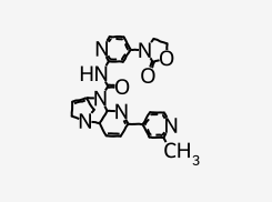 Cc1cc(C2=NC3C(C=C2)N2CC=C(C2)N3C(=O)Nc2cc(N3CCOC3=O)ccn2)ccn1